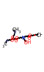 CC/C=C\CCCCOC(CCC(=O)OCCCCCCN(CCCCO)CCCCCC(=O)OCCCCCCCCC)OCCCC/C=C\CC